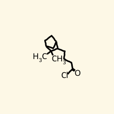 CC1(C)C2CCC(C2)C1CCCC(=O)Cl